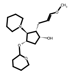 COC=CC[C@H]1[C@H](N2CCCCC2)[C@@H](OC2CCCCO2)C[C@H]1O